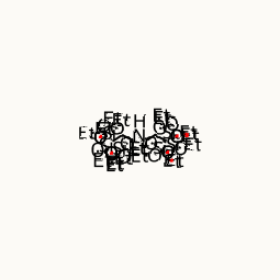 CCO[Si](OCC)(OCC)C(CCNCCC([Si](OCC)(OCC)OCC)([Si](OCC)(OCC)OCC)[Si](OCC)(OCC)OCC)([Si](OCC)(OCC)OCC)[Si](OCC)(OCC)OCC